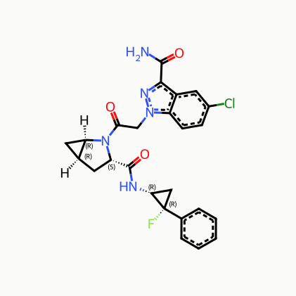 NC(=O)c1nn(CC(=O)N2[C@@H]3C[C@@H]3C[C@H]2C(=O)N[C@@H]2C[C@@]2(F)c2ccccc2)c2ccc(Cl)cc12